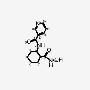 O=C(NC1CCCCC1C(=O)NO)c1cccnc1